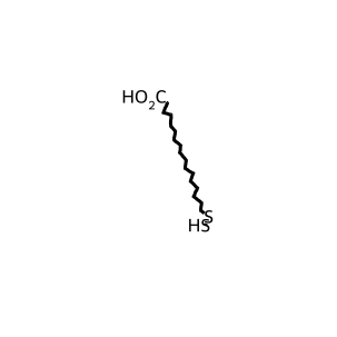 O=C(O)CCCCCCCCCCCCCCCCSS